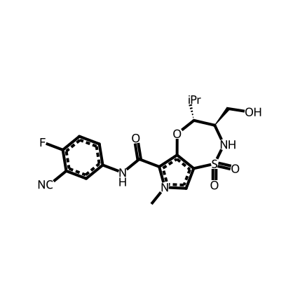 CC(C)[C@H]1Oc2c(cn(C)c2C(=O)Nc2ccc(F)c(C#N)c2)S(=O)(=O)N[C@@H]1CO